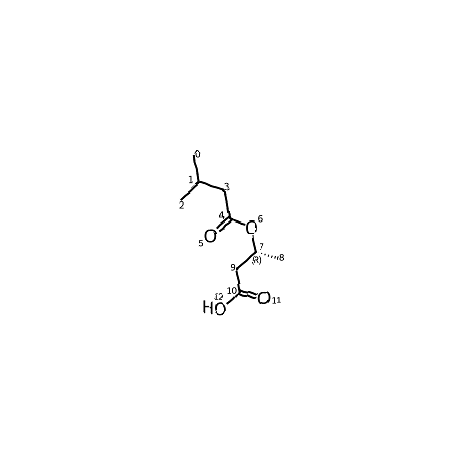 CC(C)CC(=O)O[C@H](C)CC(=O)O